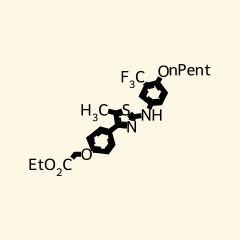 CCCCCOc1ccc(Nc2nc(-c3ccc(OCC(=O)OCC)cc3)c(C)s2)cc1C(F)(F)F